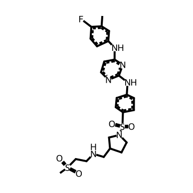 Cc1cc(Nc2ccnc(Nc3ccc(S(=O)(=O)N4CCC(CNCCS(C)(=O)=O)C4)cc3)n2)ccc1F